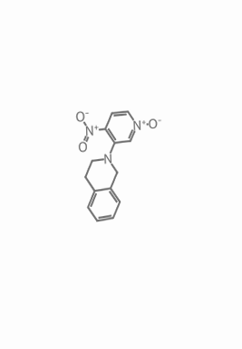 O=[N+]([O-])c1cc[n+]([O-])cc1N1CCc2ccccc2C1